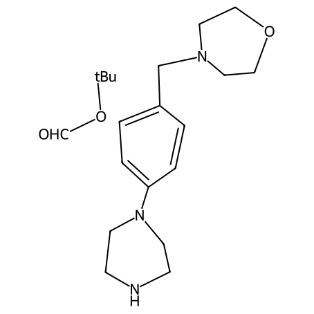 CC(C)(C)OC=O.c1cc(N2CCNCC2)ccc1CN1CCOCC1